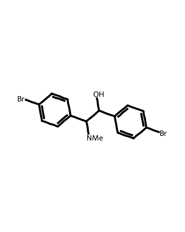 CNC(c1ccc(Br)cc1)C(O)c1ccc(Br)cc1